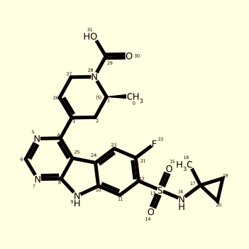 C[C@H]1CC(c2ncnc3[nH]c4cc(S(=O)(=O)NC5(C)CC5)c(F)cc4c23)=CCN1C(=O)O